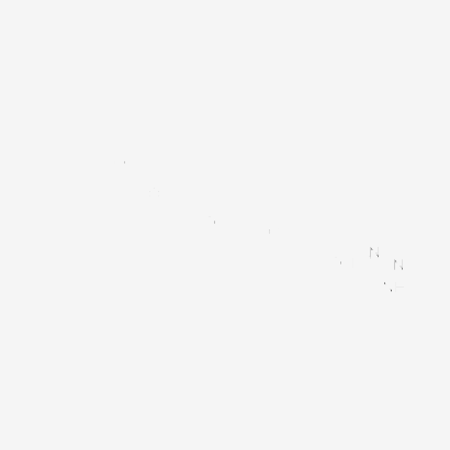 C=CCC(O)COCCOCCOCCO.c1c[nH]nn1